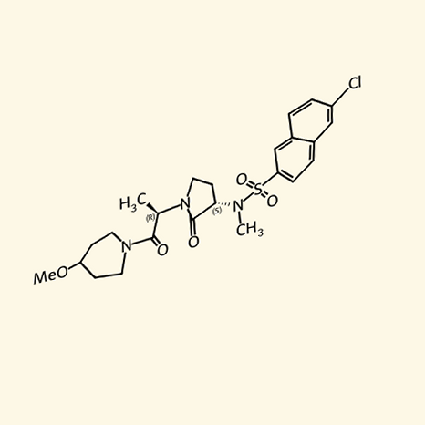 COC1CCN(C(=O)[C@@H](C)N2CC[C@H](N(C)S(=O)(=O)c3ccc4cc(Cl)ccc4c3)C2=O)CC1